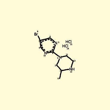 CC1CN(c2ncc(Br)cn2)CCN1.Cl.Cl